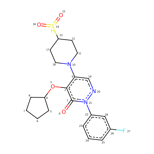 O=c1c(OC2CCCC2)c(N2CCC([SH](=O)=O)CC2)cnn1-c1cccc(F)c1